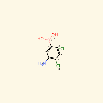 Cl.Nc1cc(B(O)O)ccc1Cl